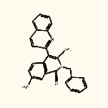 Nc1c(-c2ccc3ccccc3n2)c2ccc([N+](=O)[O-])cc2c(=O)n1Cc1ccccc1